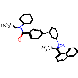 C[C@@H](N[C@H]1CCC[C@H](C2C=CC(C(=O)N(CC(=O)O)C3CCCCC3)=CC2)C1)c1cccc2ccccc12